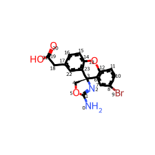 NC1=N[C@@]2(CO1)c1cc(Br)ccc1Oc1ccc(CC(=O)O)cc12